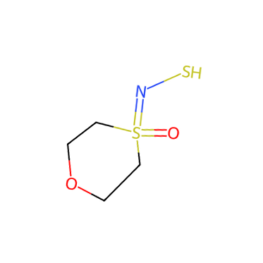 O=S1(=NS)CCOCC1